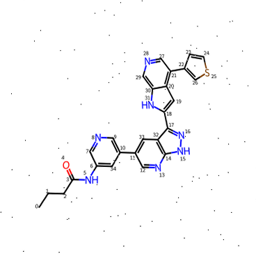 CCCC(=O)Nc1cncc(-c2cnc3[nH]nc(-c4cc5c(-c6ccsc6)cncc5[nH]4)c3c2)c1